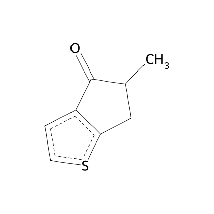 CC1Cc2sccc2C1=O